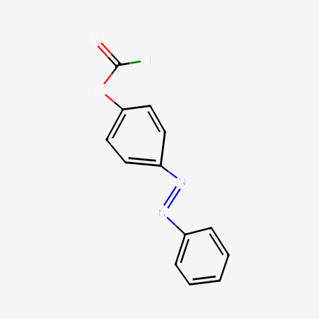 O=C(Cl)Oc1ccc(N=Nc2ccccc2)cc1